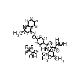 Cc1cc(COc2ccc(C(=O)NC3(CC(=O)NO)CC(C)OC3C)cc2)c2ccccc2n1.O=C(O)C(F)(F)F